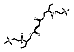 CCC(COC(=O)/C=C/C(=O)OCC(CC)[PH](=O)CC[N+](C)(C)C)[PH](=O)CC[N+](C)(C)C